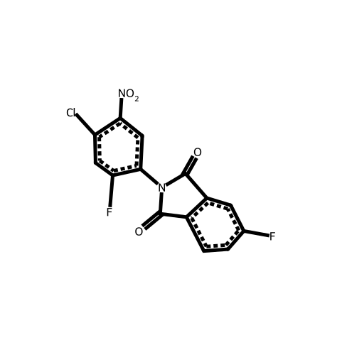 O=C1c2ccc(F)cc2C(=O)N1c1cc([N+](=O)[O-])c(Cl)cc1F